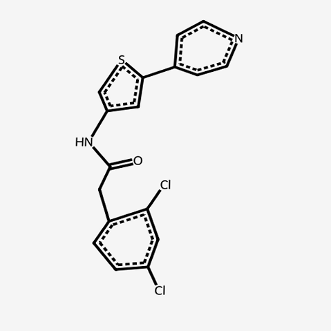 O=C(Cc1ccc(Cl)cc1Cl)Nc1csc(-c2ccncc2)c1